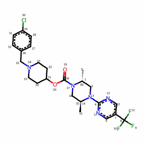 C[C@@H]1CN(c2ncc(C(F)(F)F)cn2)[C@@H](C)CN1C(=O)OC1CCN(Cc2ccc(Cl)cc2)CC1